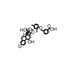 Cc1ccc(OCc2cccc(C(=O)O)c2)c(F)c1[C@H]1O[C@@H]2CC3[C@@H]4CCC5=CC(=O)C=C[C@]5(C)C4[C@@H](O)C[C@]3(C)[C@]2(C(=O)CO)O1